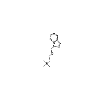 C[Si](C)(C)CCOCn1ncc2ccccc21